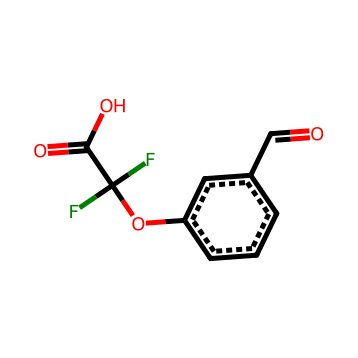 O=Cc1cccc(OC(F)(F)C(=O)O)c1